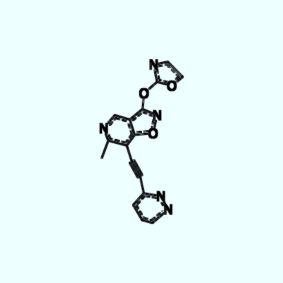 Cc1ncc2c(Oc3ncco3)noc2c1C#Cc1cccnn1